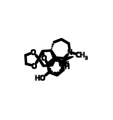 CN1CCC[C@]23c4c5ccc(O)c4OC2C2(CCC3(O)[C@H]1C5)OCCO2